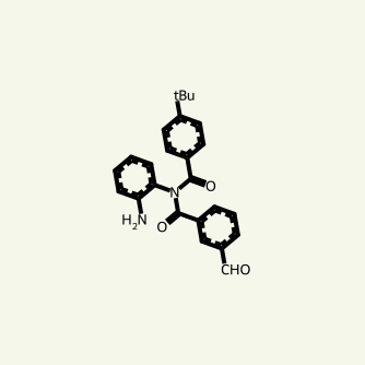 CC(C)(C)c1ccc(C(=O)N(C(=O)c2cccc(C=O)c2)c2ccccc2N)cc1